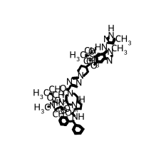 Cc1[nH]nc(Nc2ncnc3cc(OCC4CCN(c5cnc(C(=O)N6CC[C@H]7CC[C@@H](C(=O)NC(c8ccccc8)c8ccccc8)N7C(=O)[C@@H](NC(=O)[C@H](C)N(C)C(=O)OC(C)(C)C)C6)cn5)CC4)c(S(=O)(=O)C(C)(C)C)cc23)c1C